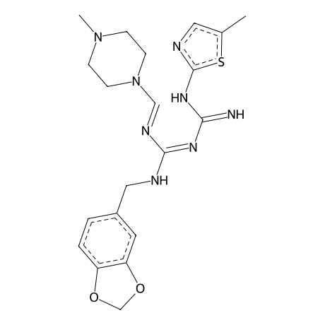 Cc1cnc(NC(=N)/N=C(\N=C\N2CCN(C)CC2)NCc2ccc3c(c2)OCO3)s1